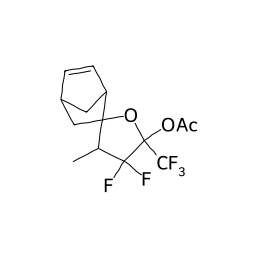 CC(=O)OC1(C(F)(F)F)OC2(CC3C=CC2C3)C(C)C1(F)F